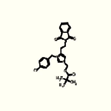 CC(C)(C)C(=O)OCn1cc(CCN2C(=O)c3ccccc3C2=O)[n+](Cc2ccc(Cl)cc2)c1